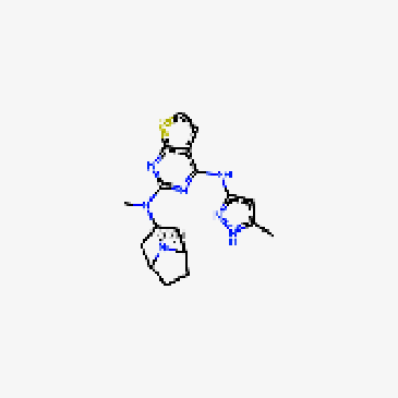 Cc1cc(Nc2nc(N(C)C3CC4CCC(C3)N4C(=O)O)nc3sccc23)n[nH]1